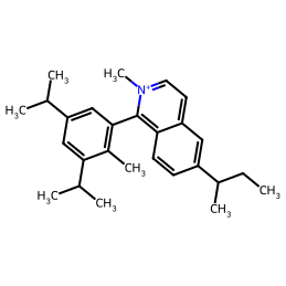 CCC(C)c1ccc2c(-c3cc(C(C)C)cc(C(C)C)c3C)[n+](C)ccc2c1